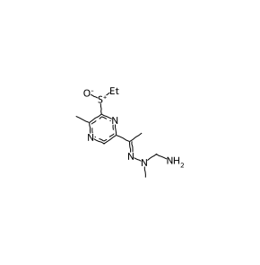 CC[S+]([O-])c1nc(/C(C)=N/N(C)CN)cnc1C